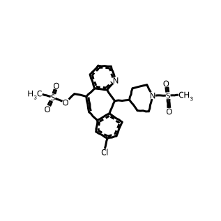 CS(=O)(=O)OCC1=Cc2cc(Cl)ccc2C(C2CCN(S(C)(=O)=O)CC2)c2ncccc21